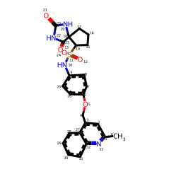 Cc1cc(COc2ccc(NS(=O)(=O)C3CCCC34NC(=O)NC4=O)cc2)c2ccccc2n1